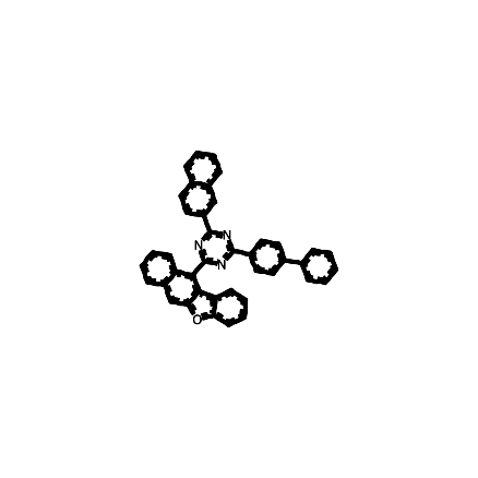 c1ccc(-c2ccc(-c3nc(-c4ccc5ccccc5c4)nc(-c4c5ccccc5cc5oc6ccccc6c45)n3)cc2)cc1